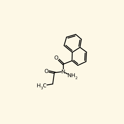 CCC(=O)N(N)C(=O)c1cccc2ccccc12